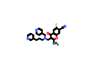 Cc1oc2cc(C#N)c(F)cc2c(=O)c1CN(CCCc1cccnc1)Cc1ccncc1